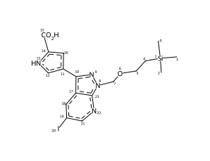 C[Si](C)(C)CCOCn1nc(-c2c[nH]c(C(=O)O)c2)c2cc(I)cnc21